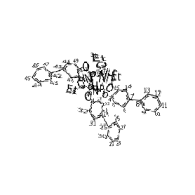 CCOP1(Oc2ccc(-c3ccccc3)cc2)=N[PH](OCC)(Oc2ccc(-c3ccccc3)cc2)N[PH](OCC)(Oc2ccc(-c3ccccc3)cc2)N1